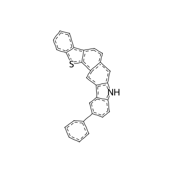 c1ccc(-c2ccc3[nH]c4cc5ccc6c7ccccc7sc6c5cc4c3c2)cc1